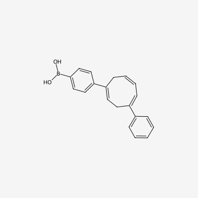 OB(O)c1ccc(/C2=C/C/C(c3ccccc3)=C\C=C/C2)cc1